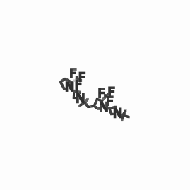 CC(C)(C)N1CC(N2CC(CC(C)(C)N3CC(N4CCC[C@@H]4C(F)(F)F)C3)C[C@H]2C(F)(F)F)C1